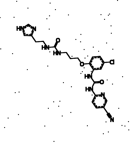 N#Cc1ccc(NC(=O)Nc2cc(Cl)ccc2OCCCNC(=O)NCCc2c[nH]cn2)nc1